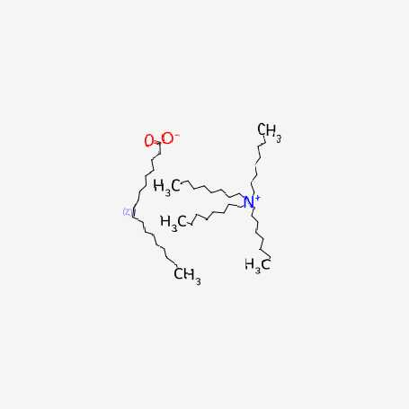 CCCCCCCC/C=C\CCCCCCCC(=O)[O-].CCCCCCCC[N+](CCCCCCCC)(CCCCCCCC)CCCCCCCC